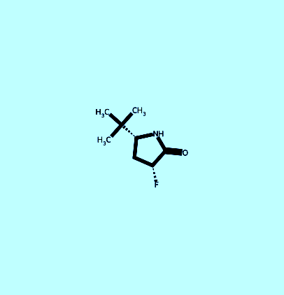 CC(C)(C)[C@H]1C[C@@H](F)C(=O)N1